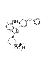 CCC[C@]1(C(=O)O)CCC[C@@H](c2nc(-c3ccc(Oc4ccccc4)cc3)c3c(N)nccn23)C1